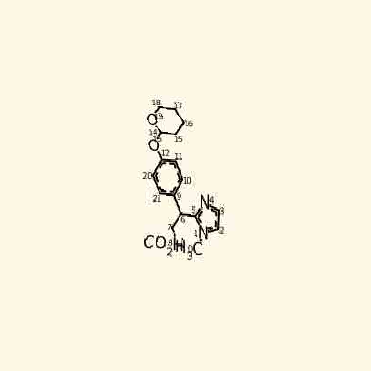 Cn1ccnc1C(CC(=O)O)c1ccc(OC2CCCCO2)cc1